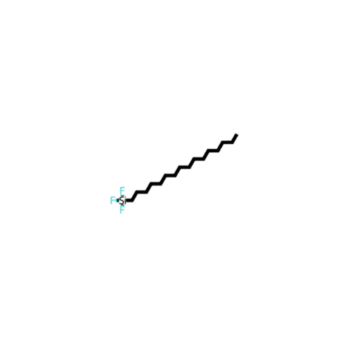 CCCCCCCCCCCCCCCC[Si](F)(F)F